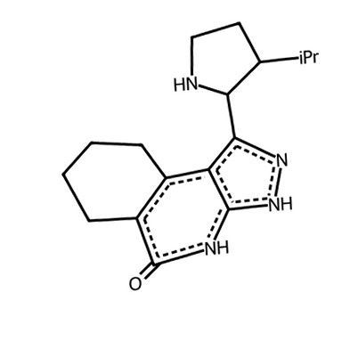 CC(C)C1CCNC1c1n[nH]c2[nH]c(=O)c3c(c12)CCCC3